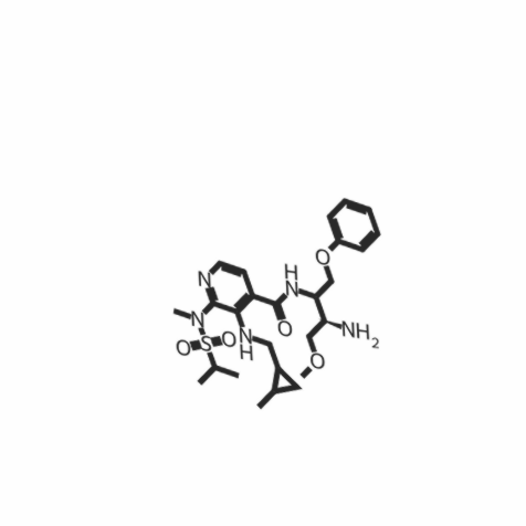 COC[C@H](N)C(COc1ccccc1)NC(=O)c1ccnc(N(C)S(=O)(=O)C(C)C)c1NCC1CC1C